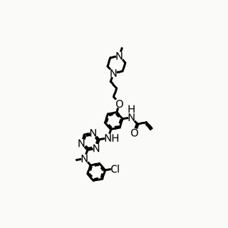 C=CC(=O)Nc1cc(Nc2ncnc(N(C)c3cccc(Cl)c3)n2)ccc1OCCCN1CCN(C)CC1